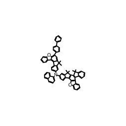 CC1(C)c2cc(N(c3ccc4c(c3)C(C)(C)c3c5c(c6c(oc7ccccc76)c3-4)-c3ccccc3C5(C)C)c3cccc4ccccc34)ccc2-c2c1cc(-c1ccc(-c3ccccc3)cc1)c1oc3ccccc3c21